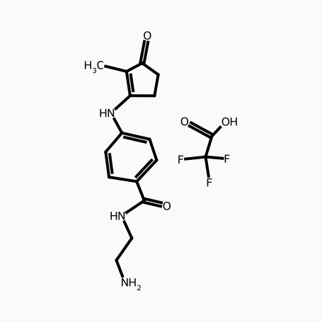 CC1=C(Nc2ccc(C(=O)NCCN)cc2)CCC1=O.O=C(O)C(F)(F)F